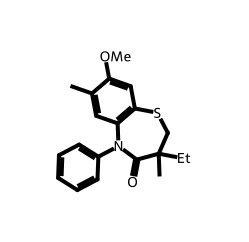 CCC1(C)CSc2cc(OC)c(C)cc2N(c2ccccc2)C1=O